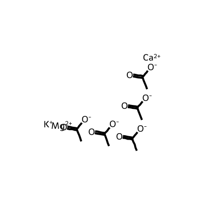 CC(=O)[O-].CC(=O)[O-].CC(=O)[O-].CC(=O)[O-].CC(=O)[O-].[Ca+2].[K+].[Mg+2]